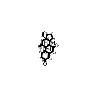 C=C1C[C@]2(CC)CCC[C@H]2[C@@H]2C(=O)CC3=CC(=O)CC[C@@H]3[C@@H]12